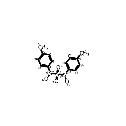 Cc1ccc([S+]([O-])S(=O)(=O)[S+]([O-])c2ccc(C)cc2)cc1